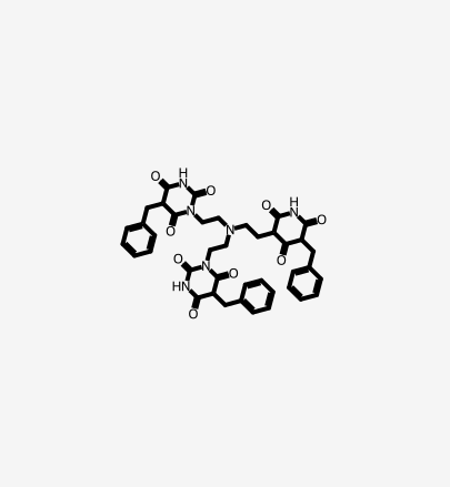 O=C1NC(=O)C(Cc2ccccc2)C(=O)C1CCN(CCN1C(=O)NC(=O)C(Cc2ccccc2)C1=O)CCN1C(=O)NC(=O)C(Cc2ccccc2)C1=O